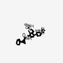 CC(C)(C)NC(=O)N1CCc2c(-c3cccc(NS(C)(=O)=O)c3)ccc(CNC(=O)C3CC3c3ccccc3)c2C1